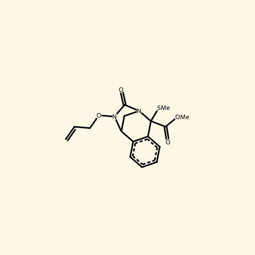 C=CCON1C(=O)N2CC1c1ccccc1C2(SC)C(=O)OC